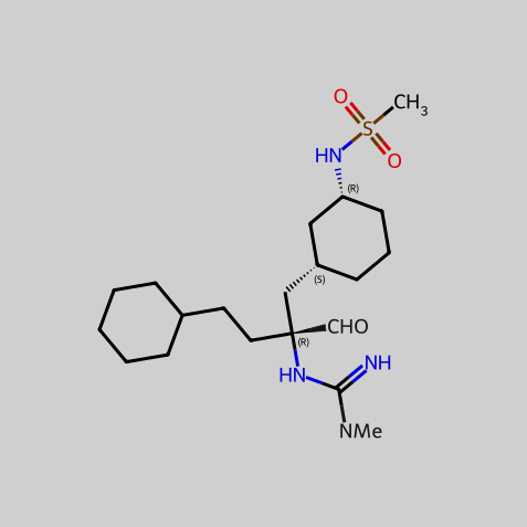 CNC(=N)N[C@](C=O)(CCC1CCCCC1)C[C@H]1CCC[C@@H](NS(C)(=O)=O)C1